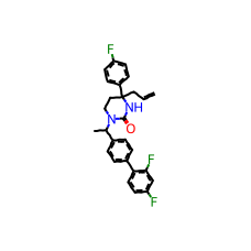 C=CCC1(c2ccc(F)cc2)CCN(C(C)c2ccc(-c3ccc(F)cc3F)cc2)C(=O)N1